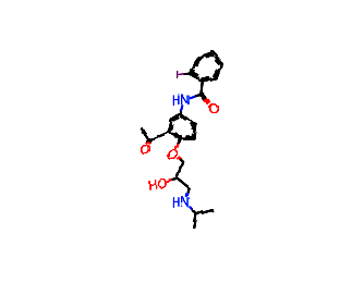 CC(=O)c1cc(NC(=O)c2ccccc2I)ccc1OCC(O)CNC(C)C